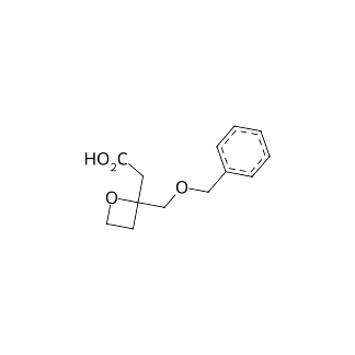 O=C(O)CC1(COCc2ccccc2)CCO1